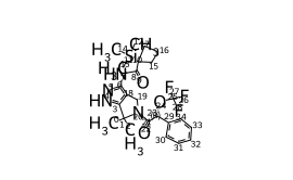 CC1(C)c2[nH]nc(NC(=O)C3([Si](C)(C)C)CCC3)c2CN1C(=O)[C@H](OC(F)(F)F)c1ccccc1